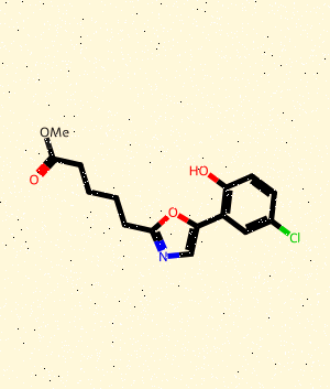 COC(=O)CCCCc1ncc(-c2cc(Cl)ccc2O)o1